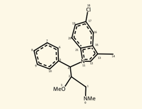 CNCC(OC)C(c1ccccc1)n1cc(C)c2cc(Cl)ccc21